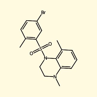 Cc1ccc(Br)cc1S(=O)(=O)N1CCN(C)c2cccc(C)c21